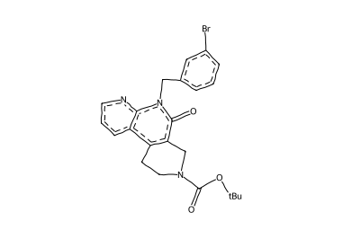 CC(C)(C)OC(=O)N1CCc2c(c(=O)n(Cc3cccc(Br)c3)c3ncccc23)C1